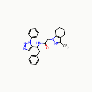 O=C(Cn1nc(C(F)(F)F)c2c1CCCC2)NC(Cc1ccccc1)c1cnnn1-c1ccccc1